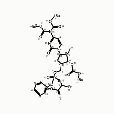 COC(=O)C(NP(=O)(OC[C@H]1S[C@@H](n2ccc(N(C(=O)OC(C)(C)C)C(=O)OC(C)(C)C)nc2=O)[C@@H](F)[C@@H]1OC(=O)OC(C)(C)C)Oc1ccccc1)C(C)C